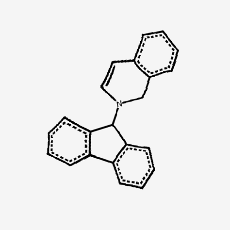 C1=CN(C2c3ccccc3-c3ccccc32)Cc2ccccc21